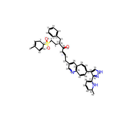 CC1=CCC(S(=O)(=O)CC[C@@H](Cc2ccccc2)C(=O)/C=C/Cc2cnc3c(c2)C=C=C(c2c[nH]nc2C2=CC=CC(C)N2)C=C3)C=C1